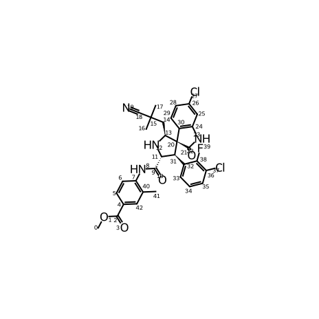 COC(=O)c1ccc(NC(=O)[C@@H]2N[C@@H](CC(C)(C)C#N)[C@@]3(C(=O)Nc4cc(Cl)ccc43)[C@H]2c2cccc(Cl)c2F)c(C)c1